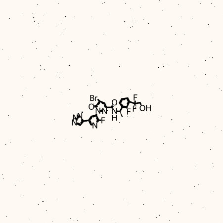 C[C@@H](NC(=O)c1cc(Br)c(=O)n(-c2cc(-c3cnnn3C)cnc2F)n1)c1cccc(C(F)(F)CO)c1F